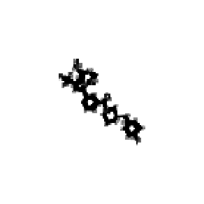 Nc1ncnn2c(-c3cccc(C(=O)N4CCC[C@H](Cc5ccc(F)cc5)C4)c3)cc(C(F)(F)F)c12